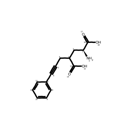 N[C@@H](CC(CC#Cc1ccccc1)C(=O)O)C(=O)O